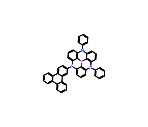 c1ccc(N2c3cccc4c3P3c5c2cccc5N(c2ccc5c6ccccc6c6ccccc6c5c2)c2cccc(c23)N4c2ccccc2)cc1